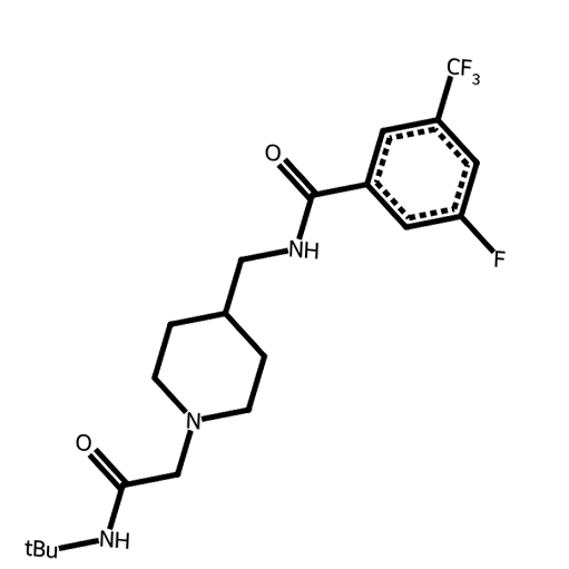 CC(C)(C)NC(=O)CN1CCC(CNC(=O)c2cc(F)cc(C(F)(F)F)c2)CC1